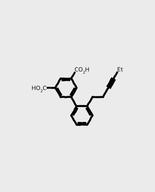 CCC#CCCc1ccccc1-c1cc(C(=O)O)cc(C(=O)O)c1